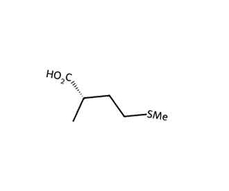 CSCC[C@H](C)C(=O)O